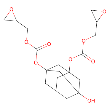 O=C(OCC1CO1)OC12CC3CC(O)(C1)CC(OC(=O)OCC1CO1)(C3)C2